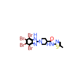 Cc1cnc(NC(=O)C2CCN(c3nc4c(Br)c(Br)c(Br)c(Br)c4[nH]3)CC2)s1